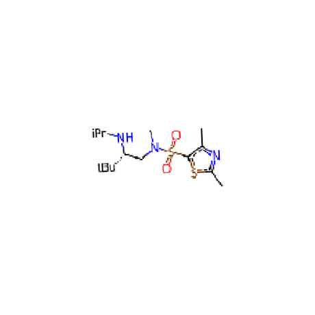 Cc1nc(C)c(S(=O)(=O)N(C)C[C@@H](NC(C)C)C(C)(C)C)s1